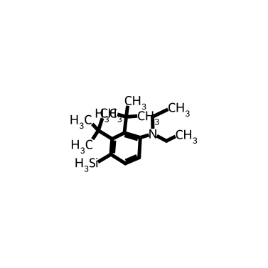 CCN(CC)c1ccc([SiH3])c(C(C)(C)C)c1C(C)(C)C